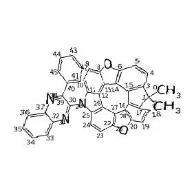 CC1(C)c2ccc3oc4ccc5c6c4c3c2c2c1ccc1oc3ccc(c6c3c12)n5-c1nc2ccccc2nc1-c1ccccc1